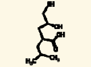 CC(C)C[C@H](C[C@H](O)CS)C(=O)O